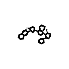 Fc1cccc(-c2ccccc2)c1-c1ccc(-c2ccc3oc4cc5ccccc5cc4c3c2)c2ccccc12